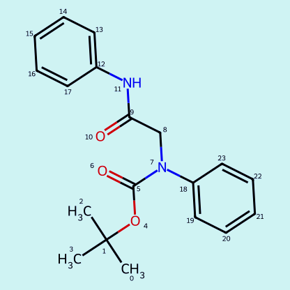 CC(C)(C)OC(=O)N(CC(=O)Nc1ccccc1)c1ccccc1